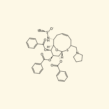 CC(C)(C)[S@@+]([O-])N[C@@H]1C/C=C\CC(CN2CCCC2)S[C@H]2O[C@H]1[C@H](OC(=O)c1ccccc1)[C@H](OC(=O)c1ccccc1)[C@H]2OC(=O)c1ccccc1